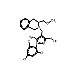 COCC1Cc2ccccc2CN1Cc1c(SC)nn(-c2c(Cl)cc(Cl)cc2Cl)c1C